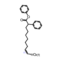 CCCCCCCC/C=C\CCCCCCC(C(=O)Oc1ccccc1)c1ccccc1